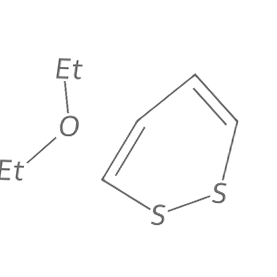 C1=CSSC=C1.CCOCC